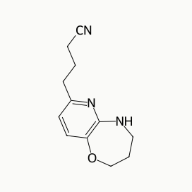 N#CCCCc1ccc2c(n1)NCCCO2